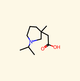 CC(C)N1CCCC(C)(CC(=O)O)C1